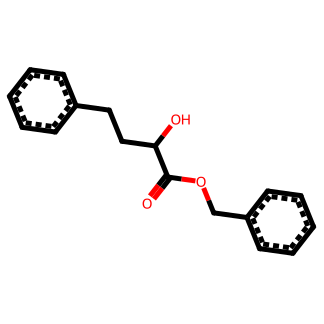 O=C(OCc1ccccc1)C(O)CCc1ccccc1